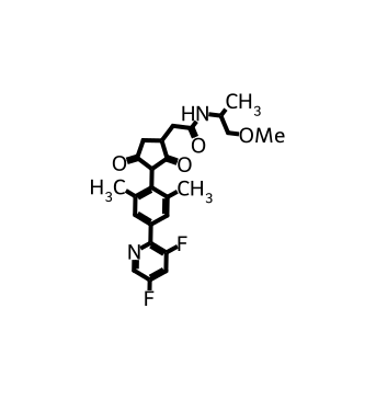 COCC(C)NC(=O)CC1CC(=O)C(c2c(C)cc(-c3ncc(F)cc3F)cc2C)C1=O